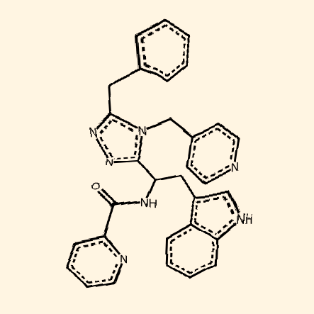 O=C(NC(Cc1c[nH]c2ccccc12)c1nnc(Cc2ccccc2)n1Cc1ccncc1)c1ccccn1